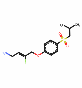 CC(C)CS(=O)(=O)c1ccc(OCC(F)=CCN)cc1